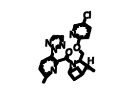 Cc1ccc(-n2nccn2)c(C(=O)N2C3CC(C3)[C@H](C)C2COc2ccc(Cl)cn2)n1